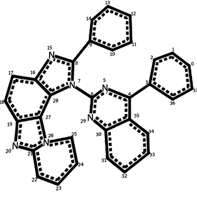 c1ccc(-c2nc(-n3c(-c4ccccc4)nc4ccc5nc6ccccn6c5c43)nc3ccccc23)cc1